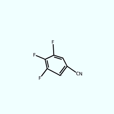 N#Cc1[c]c(F)c(F)c(F)c1